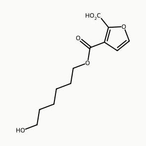 O=C(OCCCCCCO)c1ccoc1C(=O)O